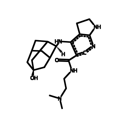 CN(C)CCNC(=O)c1cnc2c(c1N[C@H]1C3CC4CC1C[C@@](O)(C4)C3)CCN2